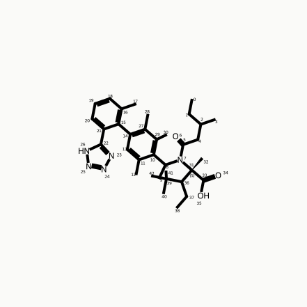 CCC(C)CC(=O)N(C(C)c1c(C)cc(-c2c(C)cccc2-c2nnn[nH]2)c(C)c1C)[C@](C)(C(=O)O)C(CC)C(C)(C)C